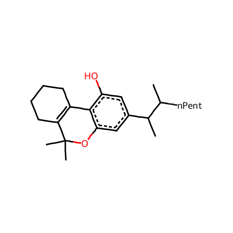 CCCCCC(C)C(C)c1cc(O)c2c(c1)OC(C)(C)C1=C2CCCC1